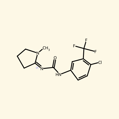 CN1CCC/C1=N/C(=O)Nc1ccc(Cl)c(C(F)(F)F)c1